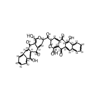 O=C1C2=C(O)OC(C(=O)C3C=C4C(=O)c5c(cc6ccccc6c5O)C(=O)C4=C(O)O3)C=C2C(=O)c2c1cc1ccccc1c2O